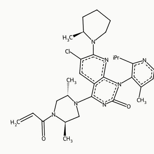 C=CC(=O)N1C[C@H](C)N(c2nc(=O)n(-c3c(C)ccnc3C(C)C)c3nc(N4CCCC[C@@H]4C)c(Cl)cc23)C[C@H]1C